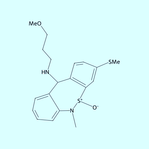 COCCCNC1c2ccccc2N(C)[S+]([O-])c2cc(SC)ccc21